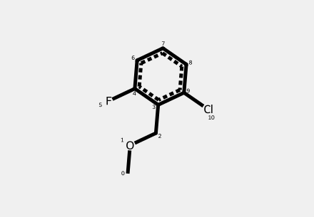 COCc1c(F)cccc1Cl